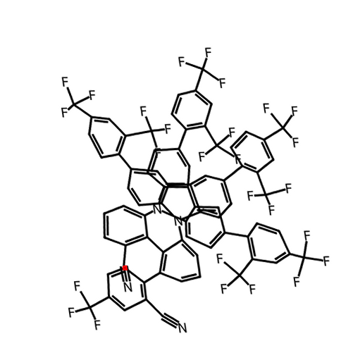 N#Cc1cc(C(F)(F)F)ccc1-c1cccc(-n2c3ccc(-c4ccc(C(F)(F)F)cc4C(F)(F)F)cc3c3cc(-c4ccc(C(F)(F)F)cc4C(F)(F)F)ccc32)c1-c1c(C#N)cccc1-n1c2ccc(-c3ccc(C(F)(F)F)cc3C(F)(F)F)cc2c2cc(-c3ccc(C(F)(F)F)cc3C(F)(F)F)ccc21